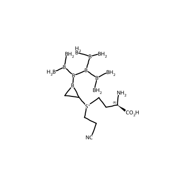 BB(B)B(B(B)B)B(B(B)B)B1CC1[S+](CCC#N)CC[C@@H](N)C(=O)O